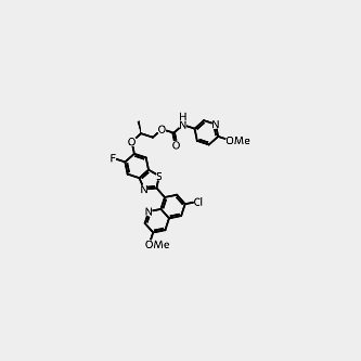 COc1cnc2c(-c3nc4cc(F)c(O[C@@H](C)COC(=O)Nc5ccc(OC)nc5)cc4s3)cc(Cl)cc2c1